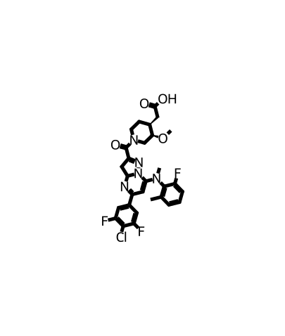 CO[C@H]1CN(C(=O)C2=NN3C(N(C)c4c(C)cccc4F)=CC(c4cc(F)c(Cl)c(F)c4)=NC3C2)CC[C@H]1CC(=O)O